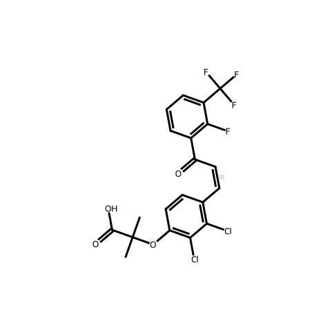 CC(C)(Oc1ccc(/C=C\C(=O)c2cccc(C(F)(F)F)c2F)c(Cl)c1Cl)C(=O)O